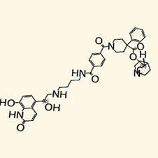 O=C(NCCCCNC[C@H](O)c1ccc(O)c2[nH]c(=O)ccc12)c1ccc(C(=O)N2CCC(C(=O)O[C@H]3CN4CCC3CC4)(c3ccccc3)CC2)cc1